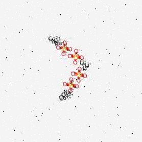 O=P([O-])([O-])[O-].O=P([O-])([O-])[O-].O=P([O-])([O-])[O-].O=P([O-])([O-])[O-].[Co+2].[Co+2].[Co+2].[Li+].[Li+].[Li+].[Na+].[Na+].[Na+]